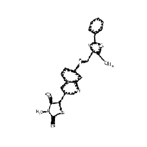 Cc1sc(-c2ccccc2)nc1COc1ccc2cc(C3SC(=O)N(C)C3=O)cnc2c1